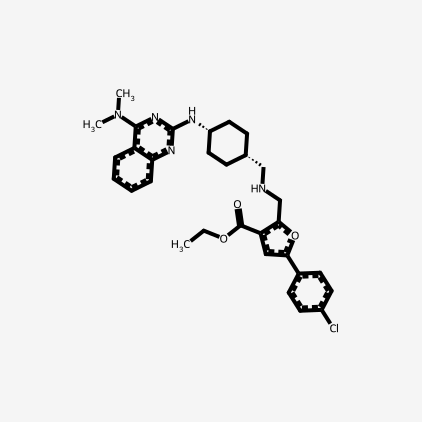 CCOC(=O)c1cc(-c2ccc(Cl)cc2)oc1CNC[C@H]1CC[C@@H](Nc2nc(N(C)C)c3ccccc3n2)CC1